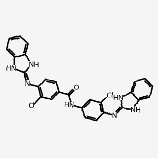 O=C(Nc1ccc(N=c2[nH]c3ccccc3[nH]2)c(Cl)c1)c1ccc(N=c2[nH]c3ccccc3[nH]2)c(Cl)c1